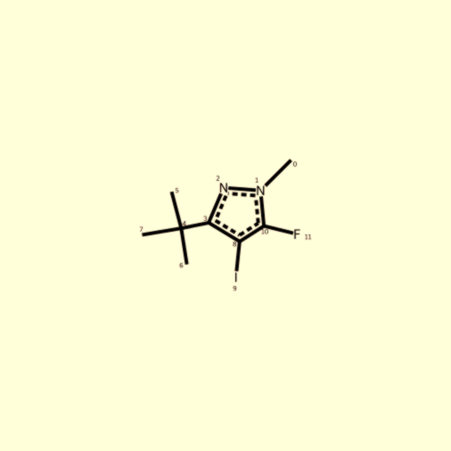 Cn1nc(C(C)(C)C)c(I)c1F